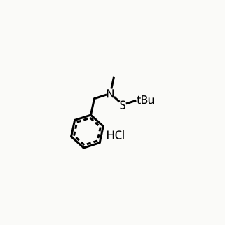 CN(Cc1ccccc1)SC(C)(C)C.Cl